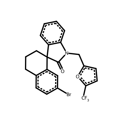 O=C1N(Cc2ccc(C(F)(F)F)o2)c2ccccc2C12CCCc1ccc(Br)cc12